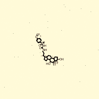 CC[C@@H]1[C@@H]2[C@@H](F)[C@H](O)CC[C@]2(C)C2CC[C@@]3(C)C(CCC3[C@H](C)CCNC(=O)NS(=O)(=O)c3ccc(OC(F)(F)F)cc3)C2[C@@H]1O